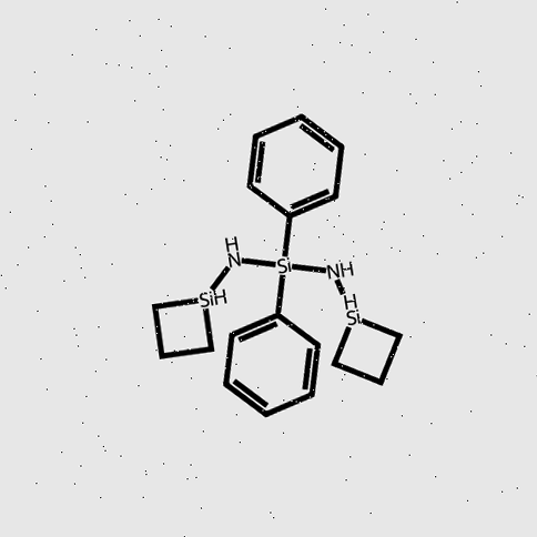 c1ccc([Si](N[SiH]2CCC2)(N[SiH]2CCC2)c2ccccc2)cc1